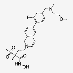 COCCN(C)Cc1ccc(-c2ccc3c(c2)C=CN(CC[C@](C)(C(=O)NO)S(C)(=O)=O)C3)c(F)c1